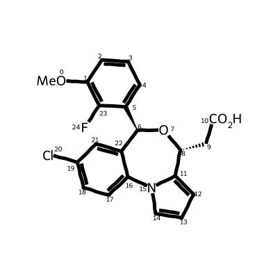 COc1cccc([C@H]2O[C@H](CC(=O)O)c3cccn3-c3ccc(Cl)cc32)c1F